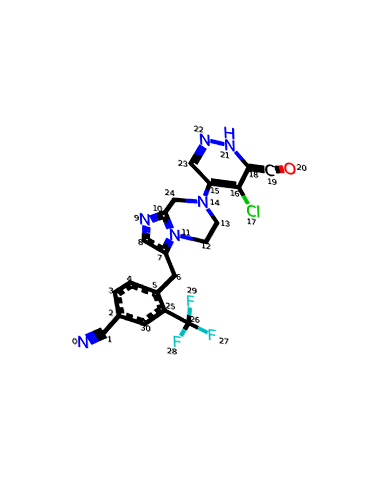 N#Cc1ccc(Cc2cnc3n2CCN(C2=C(Cl)C(=C=O)NN=C2)C3)c(C(F)(F)F)c1